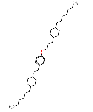 CCCCCCC[C@H]1CC[C@H](CCCOc2ccc(CC[C@H]3CC[C@H](CCCCCC)CC3)cc2)CC1